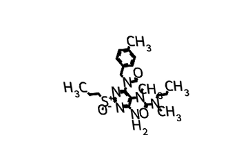 CCCN(C)C(=O)N(C)c1c(N)nc([S@@+]([O-])CCC)nc1N(C=O)Cc1ccc(C)cc1